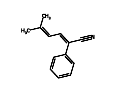 CC(C)=C/C=C(/C#N)c1ccccc1